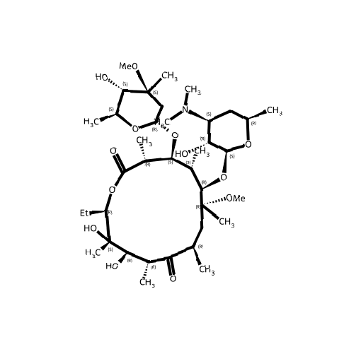 CC[C@H]1OC(=O)[C@H](C)[C@@H](O[C@H]2C[C@](C)(OC)[C@@H](O)[C@H](C)O2)[C@H](C)[C@@H](O[C@@H]2O[C@H](C)C[C@H](N(C)C)[C@H]2O)[C@](C)(OC)C[C@@H](C)C(=O)[C@H](C)[C@@H](O)[C@]1(C)O